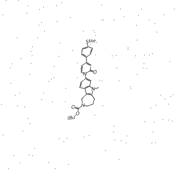 CSc1ccc(-c2ccn(-c3ccc4c5c(n(C)c4c3)CCCN(C(=O)OC(C)(C)C)C5)c(=O)c2)cc1